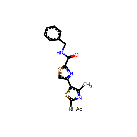 CC(=O)Nc1nc(C)c(-c2csc(C(=O)NCc3ccccc3)n2)s1